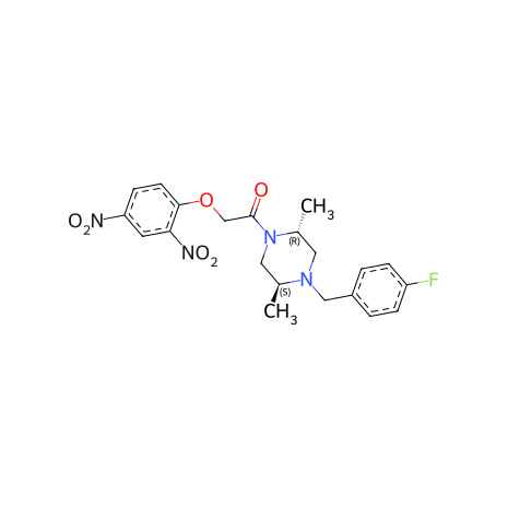 C[C@@H]1CN(Cc2ccc(F)cc2)[C@@H](C)CN1C(=O)COc1ccc([N+](=O)[O-])cc1[N+](=O)[O-]